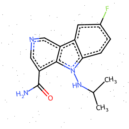 CC(C)Nn1c2ccc(F)cc2c2cncc(C(N)=O)c21